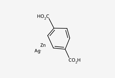 O=C(O)c1ccc(C(=O)O)cc1.[Ag].[Zn]